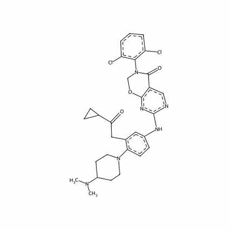 CN(C)C1CCN(c2ccc(Nc3ncc4c(n3)OCN(c3c(Cl)cccc3Cl)C4=O)cc2CC(=O)C2CC2)CC1